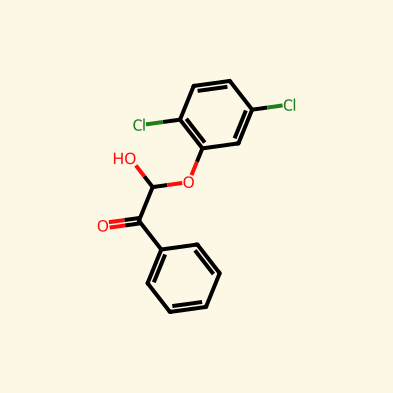 O=C(c1ccccc1)C(O)Oc1cc(Cl)ccc1Cl